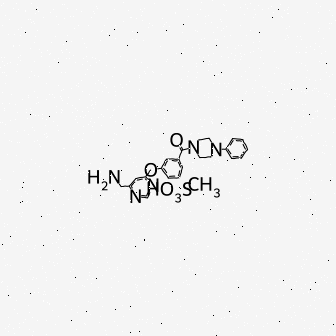 CS(=O)(=O)O.NCc1cc(Oc2cccc(C(=O)N3CCN(c4ccccc4)CC3)c2)ncn1